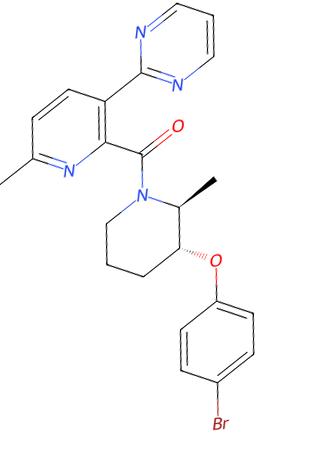 Cc1ccc(-c2ncccn2)c(C(=O)N2CCC[C@@H](Oc3ccc(Br)cc3)[C@@H]2C)n1